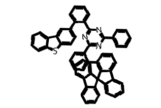 c1ccc(-c2nc(-c3ccccc3-c3ccc4sc5ccccc5c4c3)nc(-c3ccccc3-c3cccc4c3C3(c5ccccc5-c5ccccc53)c3ccccc3-4)n2)cc1